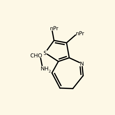 CCCc1sc2c(c1CCC)N=CCC=C2.NC=O